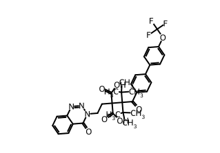 CC(C)(C)C(C(=O)c1ccc(-c2ccc(OC(F)(F)F)cc2)cc1)(C(C)(C)C)C(CCn1nnc2ccccc2c1=O)(C(=O)O)C(=O)O